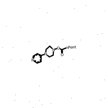 CCCCCC(=O)ON1CCN(c2ccncc2)CC1